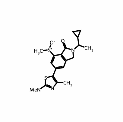 CNc1nc(C)c(-c2cc3c(c([S+](C)[O-])c2)C(=O)N(C(C)C2CC2)C3)s1